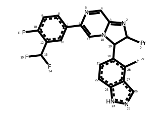 CC(C)C1N=C2C=NC(c3ccc(F)c(C(F)F)c3)=CN2C1c1ccc2[nH]ncc2c1F